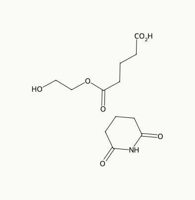 O=C(O)CCCC(=O)OCCO.O=C1CCCC(=O)N1